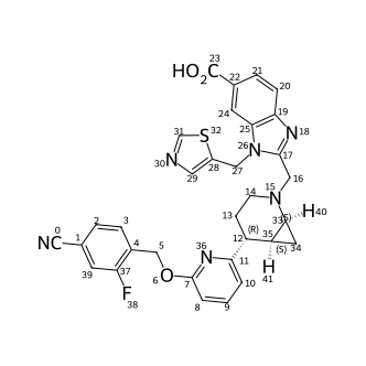 N#Cc1ccc(COc2cccc([C@@H]3CCN(Cc4nc5ccc(C(=O)O)cc5n4Cc4cncs4)[C@H]4C[C@@H]34)n2)c(F)c1